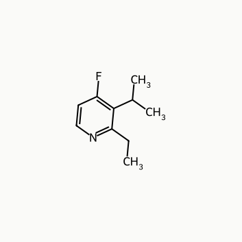 CCc1nccc(F)c1C(C)C